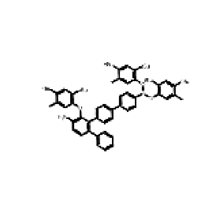 Cc1cc(Oc2c(P)ccc(-c3ccccc3)c2-c2ccc(-c3ccc(P(Oc4cc(C)c(C(C)(C)C)cc4C(C)(C)C)Oc4cc(C)c(C(C)(C)C)cc4C(C)(C)C)cc3)cc2)c(C(C)(C)C)cc1C(C)(C)C